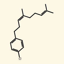 CC(C)=CCCC(C)=CCCc1ccc(Cl)cc1